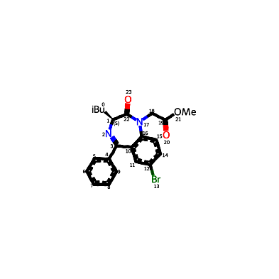 CCC(C)[C@@H]1N=C(c2ccccc2)c2cc(Br)ccc2N(CC(=O)OC)C1=O